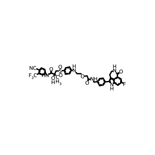 C[C@](O)(CS(=O)(=O)c1ccc(NCCOCC(=O)NCc2ccc(-c3[nH]c4cc(F)cc5c4c3CCNC5=O)cc2)cc1)C(=O)Nc1ccc(C#N)c(C(F)(F)F)c1